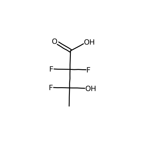 CC(O)(F)C(F)(F)C(=O)O